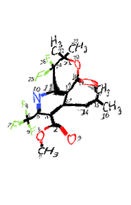 COC(=O)c1c(C(F)(F)F)nc2c(c1CC(C)C)C(=O)OC(C)(C)C2(F)F